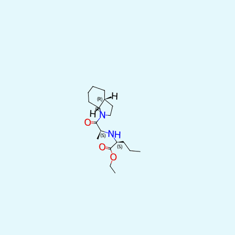 CCC[C@H](N[C@@H](C)C(=O)N1CC[C@H]2CCCC[C@H]21)C(=O)OCC